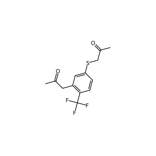 CC(=O)CSc1ccc(C(F)(F)F)c(CC(C)=O)c1